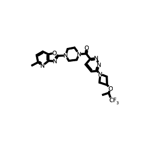 Cc1ccc2oc(N3CCN(C(=O)c4ccc(N5CC(OC(C)C(F)(F)F)C5)nn4)CC3)nc2n1